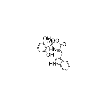 COC(=O)[C@@H](Cc1c[nH]c2ccccc12)NC(=O)c1c(O)cccc1O